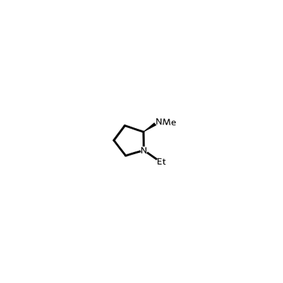 [CH2]N[C@@H]1CCCN1CC